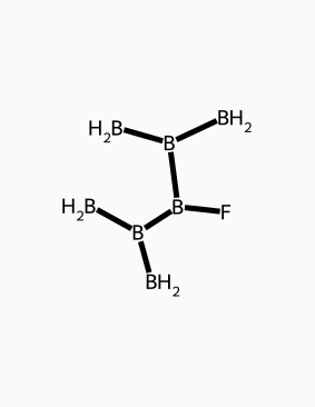 BB(B)B(F)B(B)B